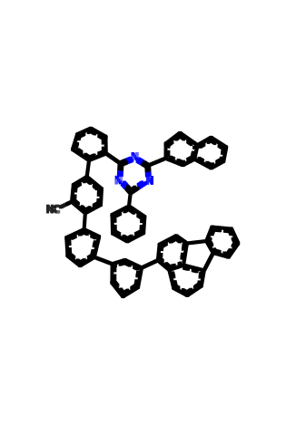 N#Cc1cc(-c2ccccc2-c2nc(-c3ccccc3)nc(-c3ccc4ccccc4c3)n2)ccc1-c1cccc(-c2cccc(-c3ccc4c5c(cccc35)-c3ccccc3-4)c2)c1